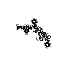 O=C(O)CCC(NC(=O)c1cc(OCC(=O)N2CCCC2C(=O)NCC2CC2)n(-c2ccccc2)n1)C(=O)N1CCN(C(=O)OCc2ccccc2)CC1